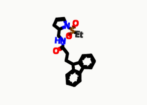 CCS(=O)(=O)N1C=CCC1CNC(=O)CCC1c2ccccc2-c2ccccc21